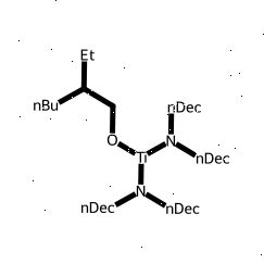 CCCCCCCCCC[N](CCCCCCCCCC)[Ti]([O]CC(CC)CCCC)[N](CCCCCCCCCC)CCCCCCCCCC